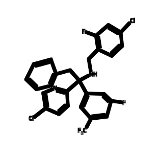 Fc1cc(C(F)(F)F)cc(C(Cc2ccccc2)(NCc2ccc(Cl)cc2F)c2ccc(Cl)cn2)c1